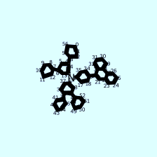 c1ccc(-c2cc(-c3ccccc3)cc(N(c3ccc(-c4cc5ccccc5c5ccccc45)cc3)c3ccc(-c4ccccc4)c(-c4ccccc4)c3)c2)cc1